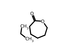 CCC.O=C1CCCCCO1